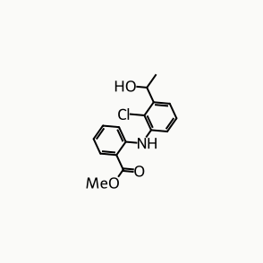 COC(=O)c1ccccc1Nc1cccc(C(C)O)c1Cl